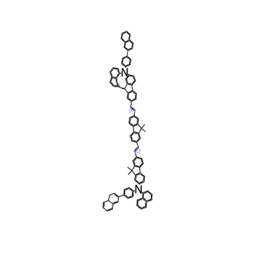 CC1(C)c2cc(/C=C/c3ccc4c(c3)C(C)(C)c3cc(N(c5ccc(C6=CCC7C=CC=CC7=C6)cc5)c5cccc6ccccc56)ccc3-4)ccc2-c2ccc(/C=C/c3ccc4c(c3)C3(C)c5ccc6cccc(c6c5)N(c5ccc(-c6ccc7ccccc7c6)cc5)c5ccc-4c3c5)cc21